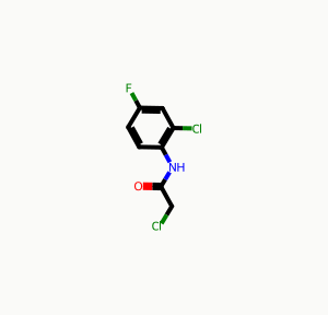 O=C(CCl)Nc1ccc(F)cc1Cl